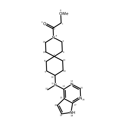 COCC(=O)N1CCC2(CCC(N(C)c3ncnc4[nH]ccc34)CC2)CC1